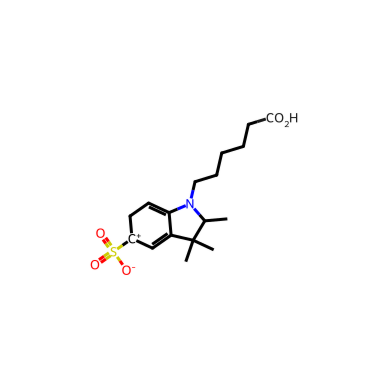 CC1N(CCCCCC(=O)O)C2=CC[C+](S(=O)(=O)[O-])C=C2C1(C)C